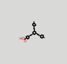 Cc1ccc(C#Cc2cc(C#Cc3ccc(C)cc3)cc(C#Cc3ccc(C(=O)O)cc3)c2)cc1